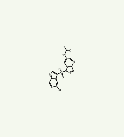 CCC(=O)Nc1cnc2cnn(S(=O)(=O)c3cnc4ccc(Br)cn34)c2c1